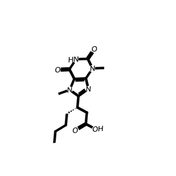 CCCC[C@@H](CC(=O)O)c1nc2c(c(=O)[nH]c(=O)n2C)n1C